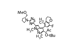 COC[C@@H]1CCCN1c1nsc(-c2cc3c(-c4cc(F)c5c(c4C)CCCO5)c([C@H](OC(C)(C)C)C(C)=O)c(C)nc3n2C)n1